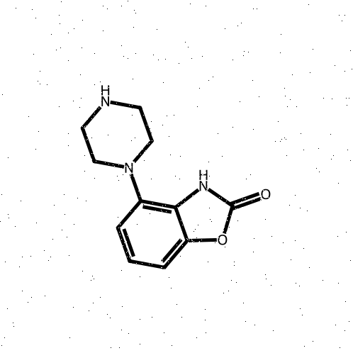 O=c1[nH]c2c(N3CCNCC3)cccc2o1